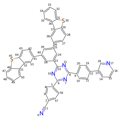 N#Cc1ccc(-c2nc(-c3ccc(-c4cccnc4)cc3)nc(-c3cc(-c4ccc5sc6ccccc6c5c4)cc(-c4ccc5sc6ccccc6c5c4)c3)n2)cc1